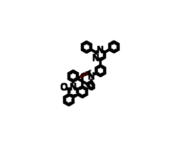 O=c1c2ccccc2c2cccc3c2n1-c1ccccc1C31c2ccccc2N(c2cccc(-c3cc(-c4ccccc4)nc(-c4ccccc4)n3)c2)c2ccccc21